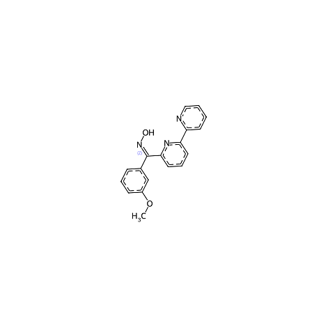 COc1cccc(/C(=N/O)c2cccc(-c3ccccn3)n2)c1